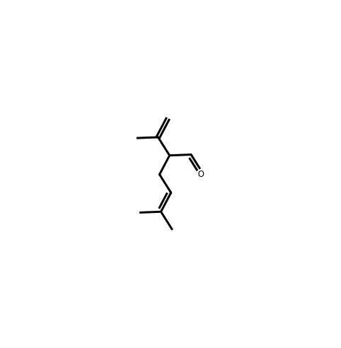 C=C(C)C(C=O)CC=C(C)C